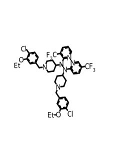 CCOc1cc(CN2CCC(N(c3ccc(C(F)(F)F)cn3)N(c3ncccc3C(F)(F)F)C3CCN(Cc4ccc(Cl)c(OCC)c4)CC3)CC2)ccc1Cl